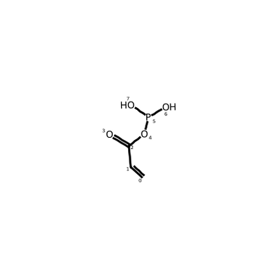 C=CC(=O)OP(O)O